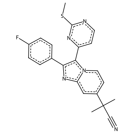 CSc1nccc(-c2c(-c3ccc(F)cc3)nc3cc(C(C)(C)C#N)ccn23)n1